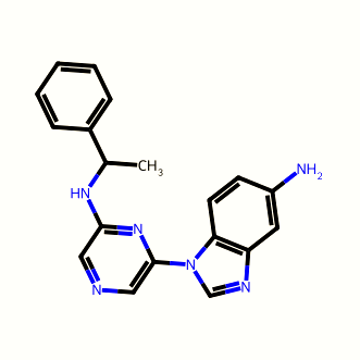 CC(Nc1cncc(-n2cnc3cc(N)ccc32)n1)c1ccccc1